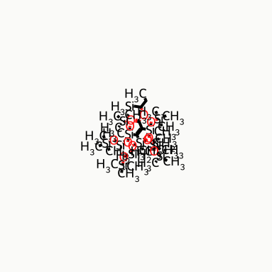 CCC([SiH3])OC(=O)C(=C([Si](C)(O[SiH2]O[Si](C)(C)C)O[Si](C)(C)C)[Si](C)(O[SiH2]O[Si](C)(C)C)O[Si](C)(C)C)[Si](C)(O[SiH2]O[Si](C)(C)C)O[Si](C)(C)C